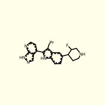 CC(C)c1c(-c2ccnc3[nH]ncc23)[nH]c2ccc(C3CCNCC3F)cc12